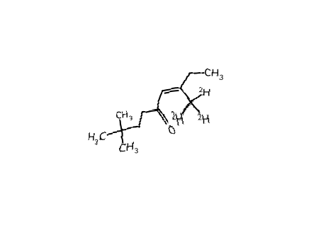 [2H]C([2H])([2H])/C(=C\C(=O)CCC(C)(C)C)CC